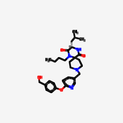 CCCCN1C(=O)[C@H](CC(C)C)NC(=O)C12CCN(Cc1ccc(Oc3ccc(CO)cc3)nc1)CC2